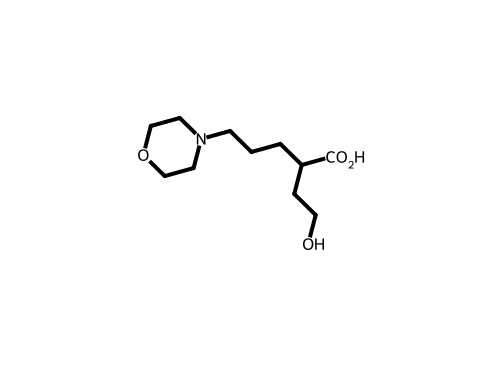 O=C(O)C(CCO)CCCN1CCOCC1